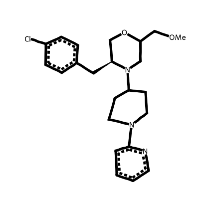 COCC1CN(C2CCN(c3ccccn3)CC2)[C@@H](Cc2ccc(Cl)cc2)CO1